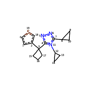 c1cc(C2(c3nnc(C4CC4)n3C3CC3)CCC2)cs1